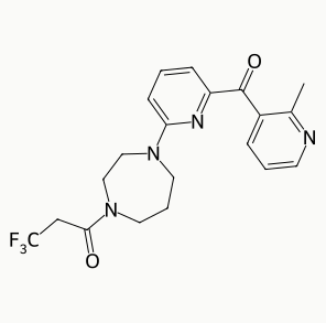 Cc1ncccc1C(=O)c1cccc(N2CCCN(C(=O)CC(F)(F)F)CC2)n1